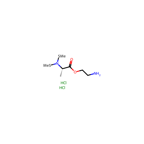 CSN(SC)[C@@H](C)C(=O)OCCN.Cl.Cl